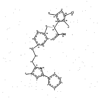 Cc1oc(-c2ccccc2)nc1CCOc1ccc(C[C@@H](C(=O)O)n2c(C)cc(Cl)c2C)cc1